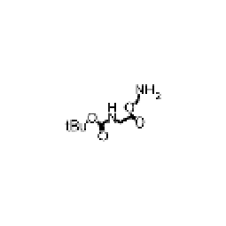 CC(C)(C)OC(=O)NCC(=O)OCN